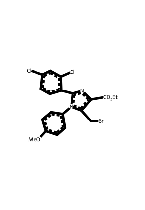 CCOC(=O)c1nc(-c2ccc(Cl)cc2Cl)n(-c2ccc(OC)cc2)c1CBr